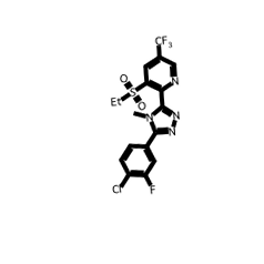 CCS(=O)(=O)c1cc(C(F)(F)F)cnc1-c1nnc(-c2ccc(Cl)c(F)c2)n1C